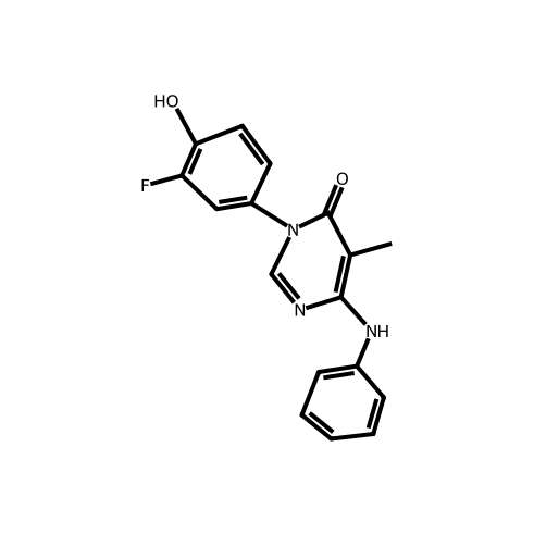 Cc1c(Nc2ccccc2)ncn(-c2ccc(O)c(F)c2)c1=O